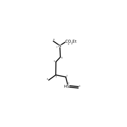 C=[SH]CC(C)CCN(C)C(=O)OCC